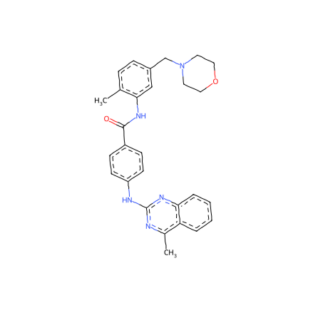 Cc1ccc(CN2CCOCC2)cc1NC(=O)c1ccc(Nc2nc(C)c3ccccc3n2)cc1